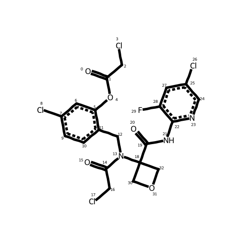 O=C(CCl)Oc1cc(Cl)ccc1CN(C(=O)CCl)C1(C(=O)Nc2ncc(Cl)cc2F)COC1